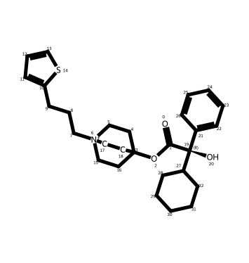 O=C(OC12CC[N+](CCCc3cccs3)(CC1)CC2)[C@](O)(c1ccccc1)C1CCCCC1